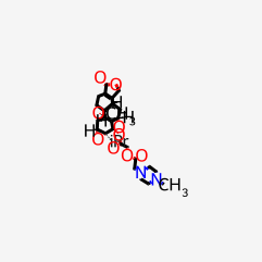 CC(C)[C@]12O[C@H]1[C@@H]1O[C@]13[C@]1(O[C@H]1C[C@H]1C4=C(CC[C@@]13C)C(=O)OC4)[C@@H]2OC(=O)COC(=O)CN1CCN(C)CC1